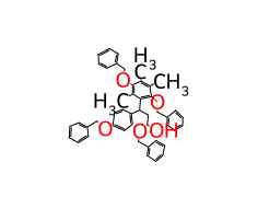 Cc1c(C)c(OCc2ccccc2)c(C(CCO)c2ccc(OCc3ccccc3)cc2OCc2ccccc2)c(C)c1OCc1ccccc1